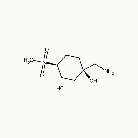 CS(=O)(=O)[C@H]1CC[C@](O)(CN)CC1.Cl